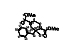 COC(=O)N1CCN(C(=O)OC)[C@](C)(Cc2ccccc2)C1